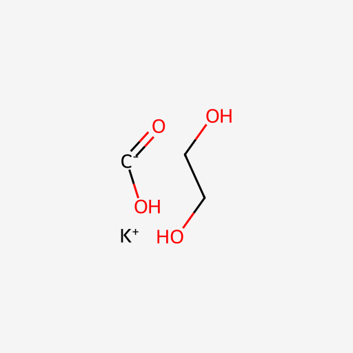 O=[C-]O.OCCO.[K+]